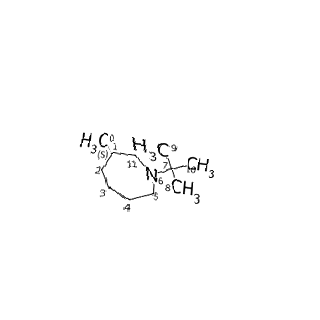 C[C@H]1CCCCN(C(C)(C)C)C1